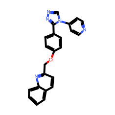 c1ccc2nc(COc3ccc(-c4nncn4-c4ccncc4)cc3)ccc2c1